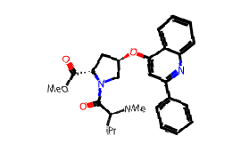 CN[C@H](C(=O)N1C[C@H](Oc2cc(-c3ccccc3)nc3ccccc23)C[C@H]1C(=O)OC)C(C)C